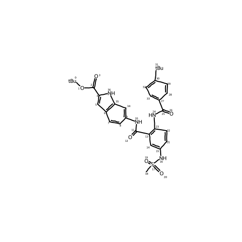 CC(C)(C)OC(=O)c1cc2ccc(NC(=O)c3cc(NS(C)(=O)=O)ccc3NC(=O)c3ccc(C(C)(C)C)cc3)cc2[nH]1